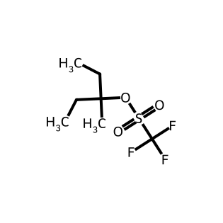 CCC(C)(CC)OS(=O)(=O)C(F)(F)F